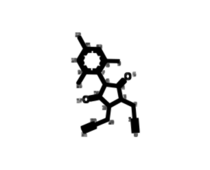 C#CCC1C(=O)C(c2c(C)cc(C)cc2C)C(=O)C1CC#C